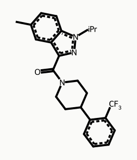 Cc1ccc2c(c1)c(C(=O)N1CCC(c3ccccc3C(F)(F)F)CC1)nn2C(C)C